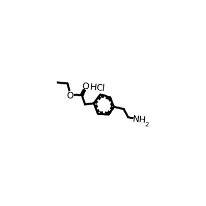 CCOC(=O)Cc1ccc(CCN)cc1.Cl